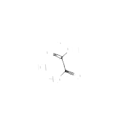 Cl.O=C(O)C(=O)O.[Sc]